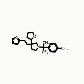 Cc1ccc(C(C)(N2CCC(CCc3cccs3)(C3CCCO3)C2)C(F)(F)F)cc1